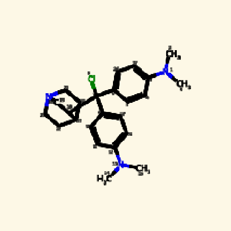 CN(C)c1ccc(C(Cl)(c2ccc(N(C)C)cc2)C2CN3CCC2CC3)cc1